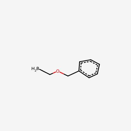 BCOCc1ccccc1